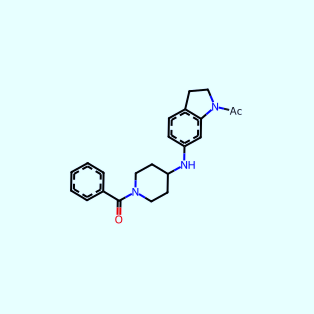 CC(=O)N1CCc2ccc(NC3CCN(C(=O)c4ccccc4)CC3)cc21